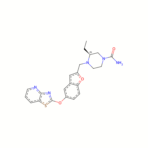 CC[C@H]1CN(C(N)=O)CCN1Cc1cc2cc(Oc3nc4ncccc4s3)ccc2o1